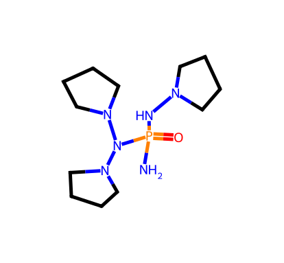 NP(=O)(NN1CCCC1)N(N1CCCC1)N1CCCC1